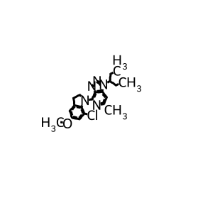 CCC(CC)n1nnc2c(N3CCc4cc(OC)cc(Cl)c43)nc(C)cc21